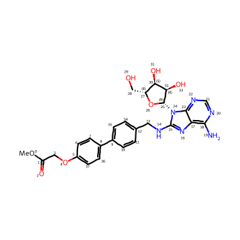 COC(=O)COc1ccc(-c2ccc(CNc3nc4c(N)ncnc4n3[C@@H]3O[C@H](CO)[C@@H](O)[C@H]3O)cc2)cc1